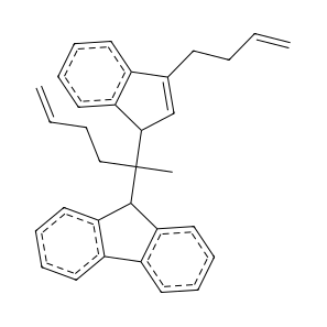 C=CCCC1=CC(C(C)(CCC=C)C2c3ccccc3-c3ccccc32)c2ccccc21